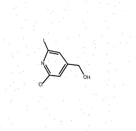 OCc1cc(Cl)nc(I)c1